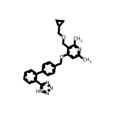 Cc1cc(OCc2ccc(-c3ccccc3-c3nnn[nH]3)cc2)c(COCC2CC2)c(C)n1